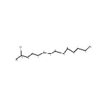 CCCCCCCCCCCCC(C)I